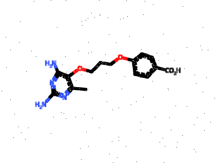 Cc1nc(N)nc(N)c1OCCCOc1ccc(C(=O)O)cc1